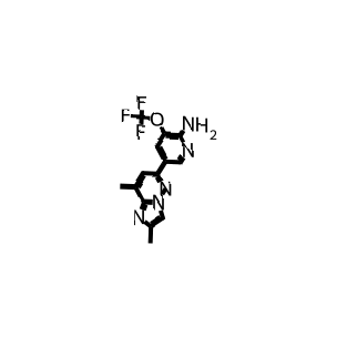 Cc1cn2nc(-c3cnc(N)c(OC(F)(F)F)c3)cc(C)c2n1